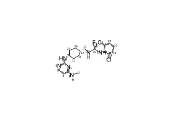 CN(C)c1ccnc(N[C@H]2CC[C@@H](CNC(=O)Nc3c(Cl)cccc3C(F)(F)F)CC2)n1